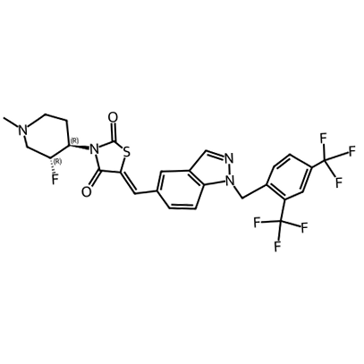 CN1CC[C@@H](N2C(=O)SC(=Cc3ccc4c(cnn4Cc4ccc(C(F)(F)F)cc4C(F)(F)F)c3)C2=O)[C@H](F)C1